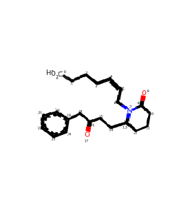 O=C(O)CCC/C=C\CN1C(=O)CCCC1CCC(=O)Cc1ccccc1